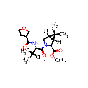 COC(=O)[C@@H]1[C@@H]2[C@H](CN1C(=O)[C@@H](NC(=O)C1CCOC1)C(C)(C)C)C2(C)C